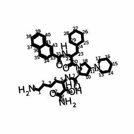 NCCCCC(NC(=O)[C@@H]1C[C@@H](N2CCCCC2)CN1C(=O)C(CC1CCCCC1)NC(=O)c1ccc2ccccc2c1)C(O)C(N)=O